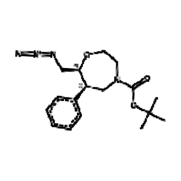 CC(C)(C)OC(=O)N1CCO[C@H](CN=[N+]=[N-])[C@H](c2ccccc2)C1